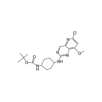 COc1cc(Cl)nc2cnc(NC3CCC(NC(=O)OC(C)(C)C)CC3)nc12